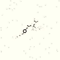 COC(=O)C(CO)NC(=O)C(CO[Si](C)(C)C(C)(C)C)NC(=O)c1csc(-c2ccc(CNC(=O)OC(C)(C)C)cc2)n1